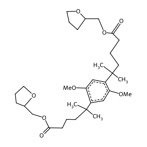 COc1cc(C(C)(C)CCCC(=O)OCC2CCCO2)c(OC)cc1C(C)(C)CCCC(=O)OCC1CCCO1